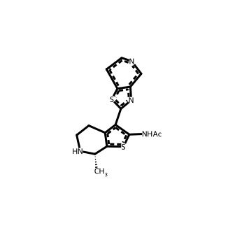 CC(=O)Nc1sc2c(c1-c1nc3cnccc3s1)CCN[C@H]2C